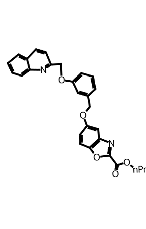 CCCOC(=O)c1nc2cc(OCc3cccc(OCc4ccc5ccccc5n4)c3)ccc2o1